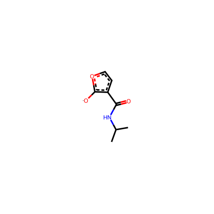 CC(C)NC(=O)c1ccoc1[O]